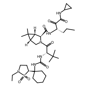 CCC[C@H](NC(=O)[C@@H]1[C@@H]2[C@H](CN1C(=O)[C@@H](NC(=O)NC1([C@@H]3CCN(CC)S3(=O)=O)CCCCC1)C(C)(C)C)C2(C)C)C(=O)C(=O)NC1CC1